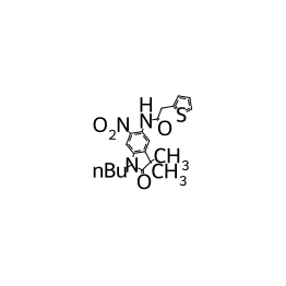 CCCCN1C(=O)C(C)(C)c2cc(NC(=O)Cc3cccs3)c([N+](=O)[O-])cc21